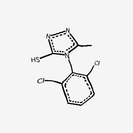 Cc1nnc(S)n1-c1c(Cl)cccc1Cl